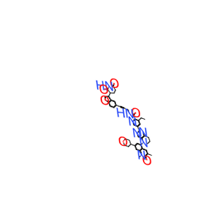 CCc1cc(-c2ncc3c(n2)CCCN3c2cc(C3CCOCC3)cc3c2cc(C)c(=O)n3C)cnc1C(=O)NCC#Cc1ccc2occ(C3CCC(=O)NC3=O)c2c1